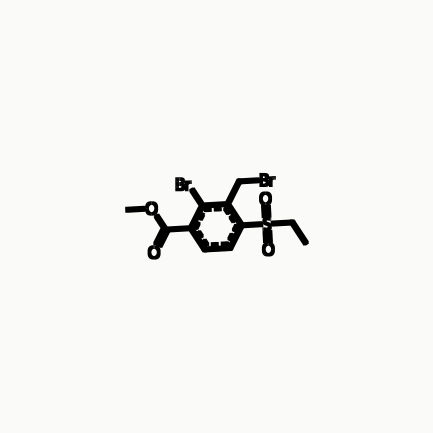 CCS(=O)(=O)c1ccc(C(=O)OC)c(Br)c1CBr